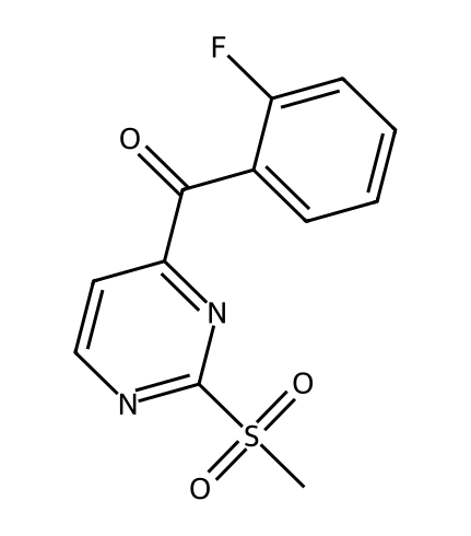 CS(=O)(=O)c1nccc(C(=O)c2ccccc2F)n1